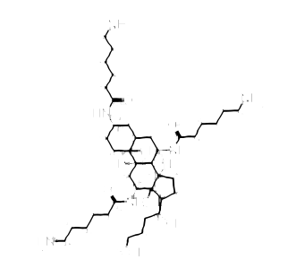 C[C@H](CCCO)C1CC[C@H]2C3[C@H](NC(=O)CCCCCN)CC4C[C@H](NC(=O)CCCCCN)CCC4(C)[C@H]3C[C@H](NC(=O)CCCCCN)C12C